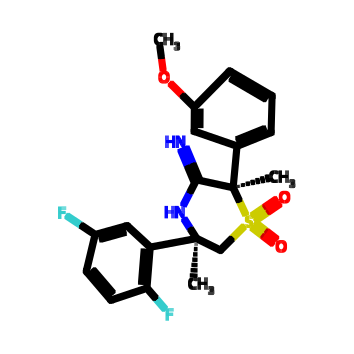 COc1cccc([C@]2(C)C(=N)N[C@](C)(c3cc(F)ccc3F)CS2(=O)=O)c1